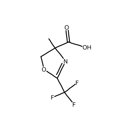 CC1(C(=O)O)COC(C(F)(F)F)=N1